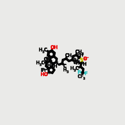 [2H]C([2H])(C(C)CC(C)CC(C)CC(C)C[C@@H]1Cc2cc(O)c(C)cc2[C@@H]2[C@@H]1[C@@H]1CC[C@H](O)[C@@]1(C(C)C)CC2(C)C)[S+]([O-])C([2H])([2H])C(C)CC(F)(F)C(F)(F)F